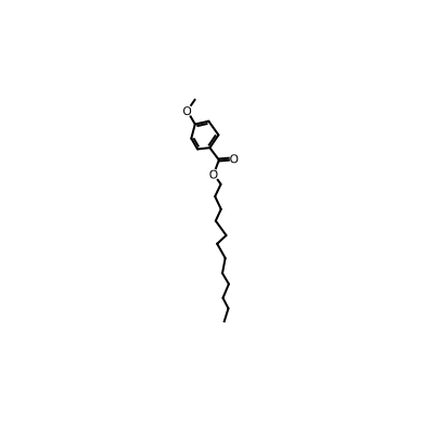 CCCCCCCCCCCCOC(=O)c1ccc(OC)cc1